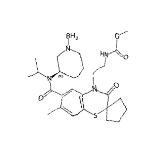 BN1CCC[C@@H](N(C(=O)c2cc3c(cc2C)SC2(CCCC2)C(=O)N3CCNC(=O)OC)C(C)C)C1